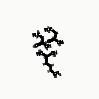 CCC(=O)O.CCC(=O)O.CCCCC(O)O